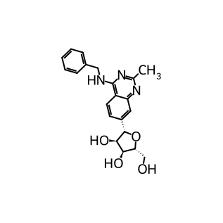 Cc1nc(NCc2ccccc2)c2ccc([C@@H]3O[C@H](CO)[C@@H](O)[C@H]3O)cc2n1